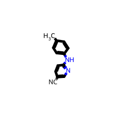 Cc1ccc(Nc2ccc(C#N)cn2)cc1